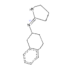 c1ccc2c(c1)CCC(/N=C1\CCCN1)C2